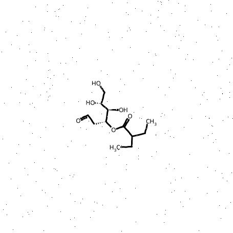 CCC(CC)C(=O)O[C@H](CC=O)[C@H](O)[C@H](O)CO